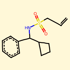 C=CCS(=O)(=O)NC(c1ccccc1)C1CCC1